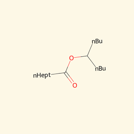 CCCCCCCC(=O)OC(CCCC)CCCC